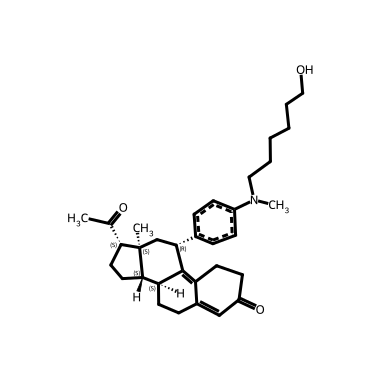 CC(=O)[C@H]1CC[C@H]2[C@@H]3CCC4=CC(=O)CCC4=C3[C@@H](c3ccc(N(C)CCCCCCO)cc3)C[C@]12C